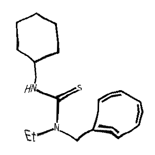 [CH2]CN(Cc1ccccc1)C(=S)NC1CCCCC1